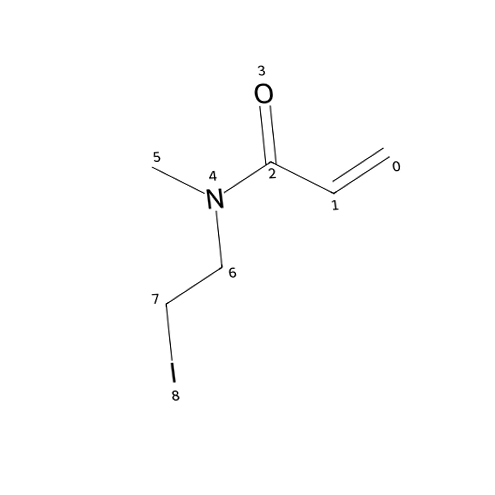 C=CC(=O)N(C)CCI